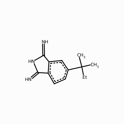 CCC(C)(C)c1ccc2c(c1)C(=N)NC2=N